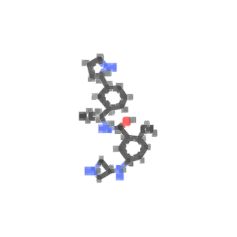 Cc1ccc(NC2CNC2)cc1C(=O)N[C@H](C)c1cccc(-c2ccc[nH]2)c1